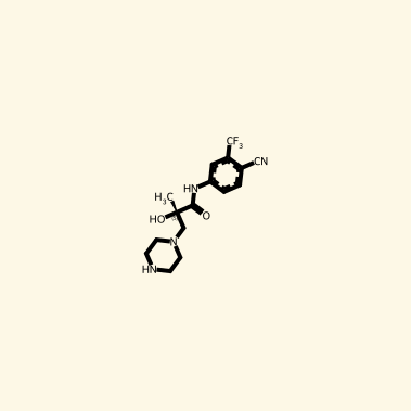 C[C@](O)(CN1CCNCC1)C(=O)Nc1ccc(C#N)c(C(F)(F)F)c1